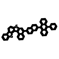 c1ccc(-c2c3ccccc3c(-c3ccc4cc(-c5cc6sc7ccc8c9ccccc9sc8c7c6c6ccccc56)ccc4c3)c3ccccc23)cc1